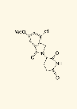 COc1cc(Cl)c2c(c1)C(=O)N(C1CCC(=O)NC1=O)C2